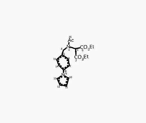 CCOC(=O)C(C(=O)OCC)N(Cc1ccc(-n2cccc2)cc1)C(C)=O